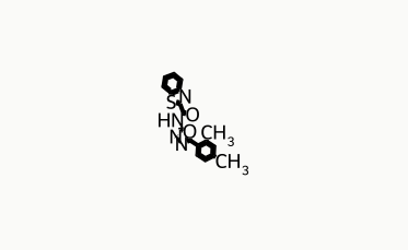 Cc1ccc(-c2nnc(NC(=O)c3nc4ccccc4s3)o2)c(C)c1